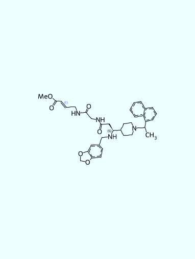 COC(=O)/C=C/CNC(=O)CNC(=O)C[C@H](NCc1ccc2c(c1)OCO2)C1CCN(C(C)c2cccc3ccccc23)CC1